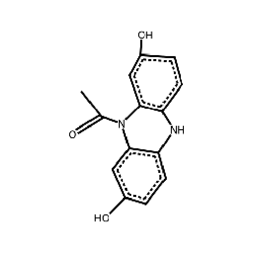 CC(=O)N1c2cc(O)ccc2Nc2ccc(O)cc21